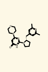 Cc1cc(C[C@@H]2CCCN2c2nc(N3CCOCC3)cc(=O)[nH]2)cc(C)n1